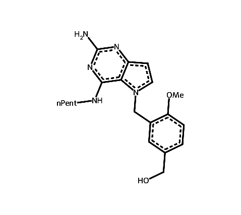 CCCCCNc1nc(N)nc2ccn(Cc3cc(CO)ccc3OC)c12